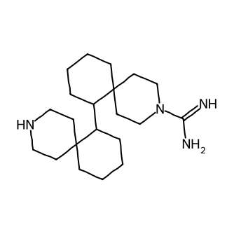 N=C(N)N1CCC2(CCCCC2C2CCCCC23CCNCC3)CC1